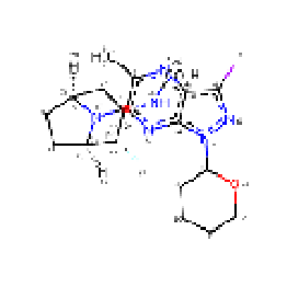 Cc1nc2c(I)nn(C3CCCCO3)c2nc1N1[C@H]2CC[C@@H]1[C@@H](F)[C@@H](NC(=O)O)C2